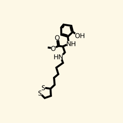 COC(=O)C(CNCCCCCC1CCSS1)Nc1ccccc1O